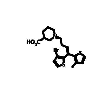 Cc1ccsc1C(=CCCN1CCCC(C(=O)O)C1)c1sccc1Br